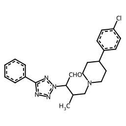 CC(CN1CCC(c2ccc(Cl)cc2)CC1)C(C=O)n1nnc(-c2ccccc2)n1